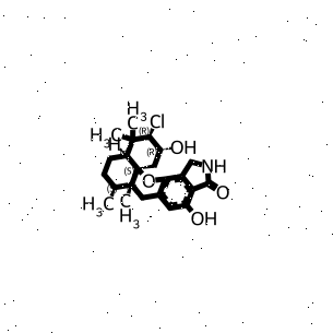 C[C@H]1CC[C@H]2C(C)(C)[C@@H](Cl)[C@H](O)C[C@]23Oc2c(cc(O)c4c2CNC4=O)C[C@]13C